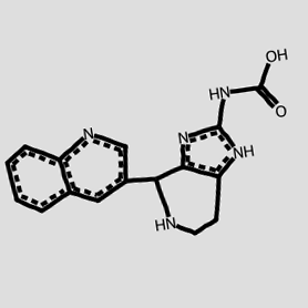 O=C(O)Nc1nc2c([nH]1)CCNC2c1cnc2ccccc2c1